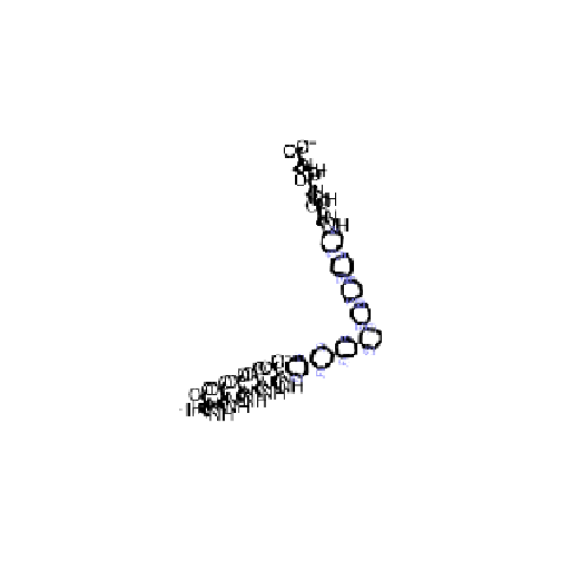 C1=C\CC/C=C\CC/1.C1=C\CC/C=C\CC/1.C1=C\CC/C=C\CC/1.C1=C\CC/C=C\CC/1.C1=C\CC/C=C\CC/1.C1=C\CC/C=C\CC/1.C1=C\CC/C=C\CC/1.C1=C\CC/C=C\CC/1.O=C([O-])c1cc[nH]n1.O=C([O-])c1cc[nH]n1.O=C([O-])c1cc[nH]n1.O=C([O-])c1cc[nH]n1.O=C([O-])c1cc[nH]n1.O=C([O-])c1cc[nH]n1.O=C([O-])c1cc[nH]n1.O=C([O-])c1cc[nH]n1.[Ir+4].[Ir+4]